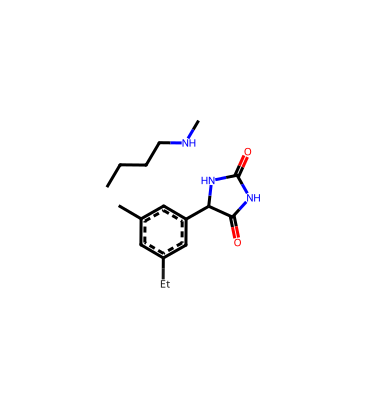 CCCCNC.CCc1cc(C)cc(C2NC(=O)NC2=O)c1